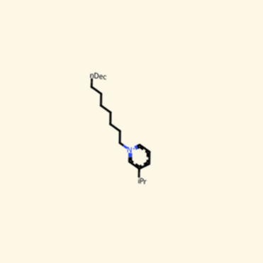 CCCCCCCCCCCCCCCCC[n+]1cccc(C(C)C)c1